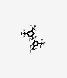 F[B-](F)(c1cc(C(F)(F)F)cc(C(F)(F)F)c1)c1cc(C(F)(F)F)cc(C(F)(F)F)c1